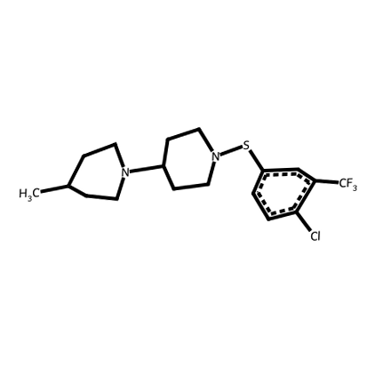 CC1CCN(C2CCN(Sc3ccc(Cl)c(C(F)(F)F)c3)CC2)CC1